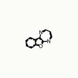 C1=CC=Nc2c(oc3ccccc23)N=1